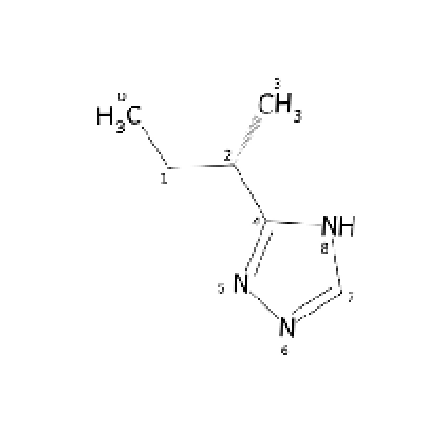 CC[C@H](C)c1nnc[nH]1